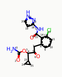 NC(=O)OC(C(=O)Cc1cccc(Cl)c1C(=O)Nc1cc[nH]n1)C1CC1